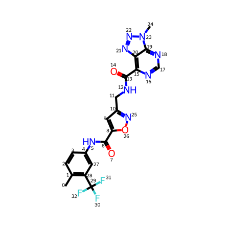 Cc1ccc(NC(=O)c2cc(CNC(=O)c3ncnc4c3nnn4C)no2)cc1C(F)(F)F